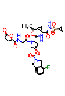 C=CC1C[C@]1(NC(=O)[C@@H]1C[C@@H](OC(=O)N2Cc3cccc(F)c3C2)CN1C(=O)CNC(=O)[C@H]1CCC(=O)O1)C(=O)NS(=O)(=O)C1CC1